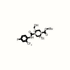 CC[C@@H]1CN(C(=O)Nc2ccc(F)cc2C(F)(F)F)[C@H](CO)CN1C(=O)OC(C)(C)C